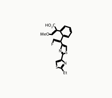 CCc1nc(-c2nc(C(=CF)c3ccccc3C(=COC)C(=O)O)cs2)cs1